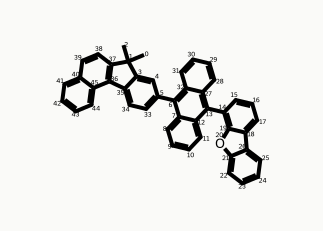 CC1(C)c2cc(-c3c4ccccc4c(-c4cccc5c4oc4ccccc45)c4ccccc34)ccc2-c2c1ccc1ccccc21